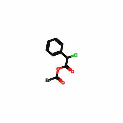 [CH2]CC(=O)OC(=O)C(Cl)c1ccccc1